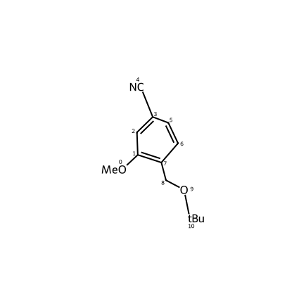 COc1cc(C#N)ccc1COC(C)(C)C